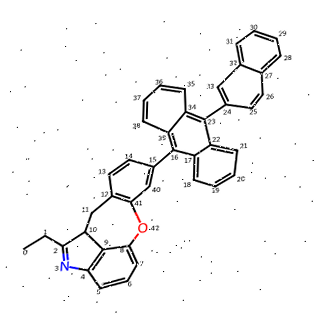 CCC1=Nc2cccc3c2C1Cc1ccc(-c2c4ccccc4c(-c4ccc5ccccc5c4)c4ccccc24)cc1O3